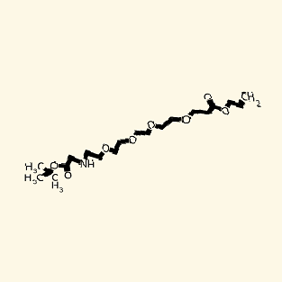 C=CCOC(=O)CCOCCOCCOCCOCCNCC(=O)OC(C)(C)C